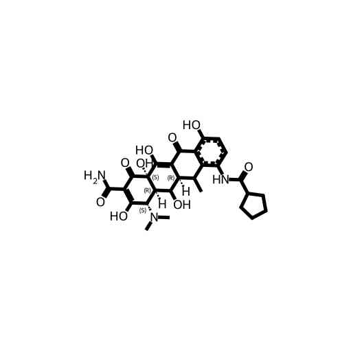 CC1c2c(NC(=O)C3CCCC3)ccc(O)c2C(=O)C2=C(O)[C@]3(O)C(=O)C(C(N)=O)=C(O)[C@@H](N(C)C)[C@@H]3C(O)[C@@H]21